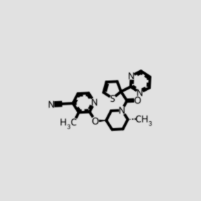 Cc1c(C#N)ccnc1O[C@@H]1CC[C@@H](C)N(C(=O)C2(c3ncccn3)CC=CS2)C1